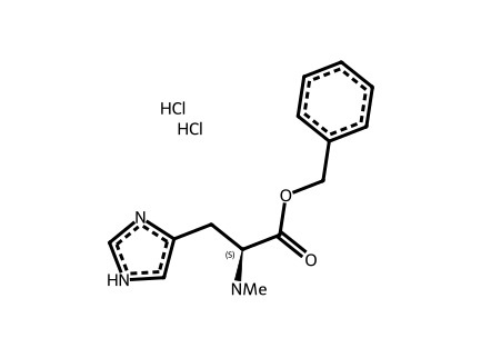 CN[C@@H](Cc1c[nH]cn1)C(=O)OCc1ccccc1.Cl.Cl